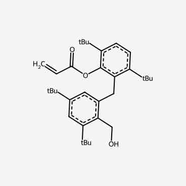 C=CC(=O)Oc1c(C(C)(C)C)ccc(C(C)(C)C)c1Cc1cc(C(C)(C)C)cc(C(C)(C)C)c1CO